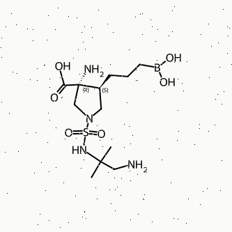 CC(C)(CN)NS(=O)(=O)N1C[C@H](CCCB(O)O)[C@](N)(C(=O)O)C1